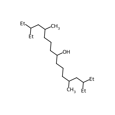 CCC(CC)CC(C)CCCC(O)CCCC(C)CC(CC)CC